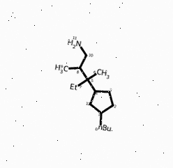 CCCCC1CCC(C(C)(CC)C(C)CN)C1